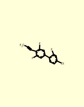 CCc1ccc(-c2cc(F)c(C#CC(F)(F)F)c(F)c2)c(F)c1